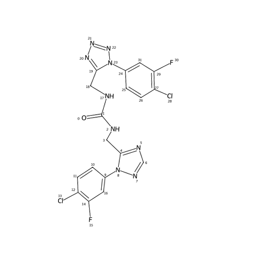 O=C(NCc1ncnn1-c1ccc(Cl)c(F)c1)NCc1nnnn1-c1ccc(Cl)c(F)c1